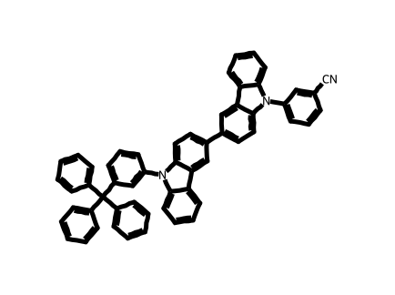 N#Cc1cccc(-n2c3ccccc3c3cc(-c4ccc5c(c4)c4ccccc4n5-c4cccc(C(c5ccccc5)(c5ccccc5)c5ccccc5)c4)ccc32)c1